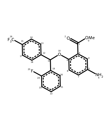 COC(=O)c1cc(N)ccc1OC(c1ccc(C(F)(F)F)cc1)c1ccccc1F